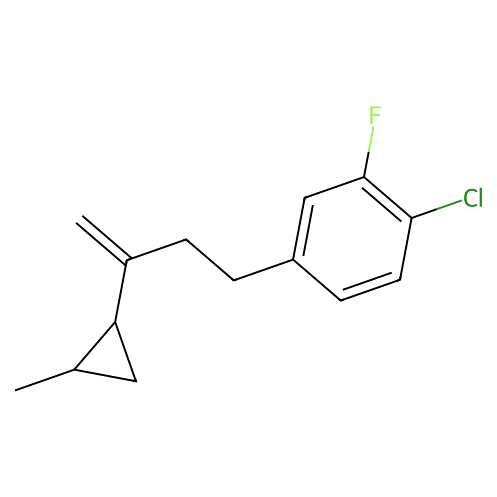 C=C(CCc1ccc(Cl)c(F)c1)C1CC1C